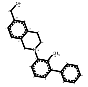 Cc1c(-c2ccccc2)cccc1N1CCc2cc(CO)ccc2C1